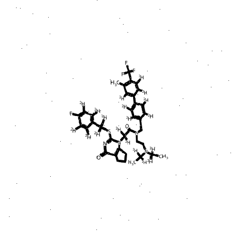 [2H]c1c([2H])c(C([2H])([2H])Sc2nc(=O)c3c(n2C([2H])([2H])C(=O)N(CCN(C([2H])([2H])C)C([2H])([2H])C)Cc2c([2H])c([2H])c(-c4c([2H])c([2H])c(C(F)(F)F)c(C)c4[2H])c([2H])c2[2H])CCC3)c([2H])c([2H])c1F